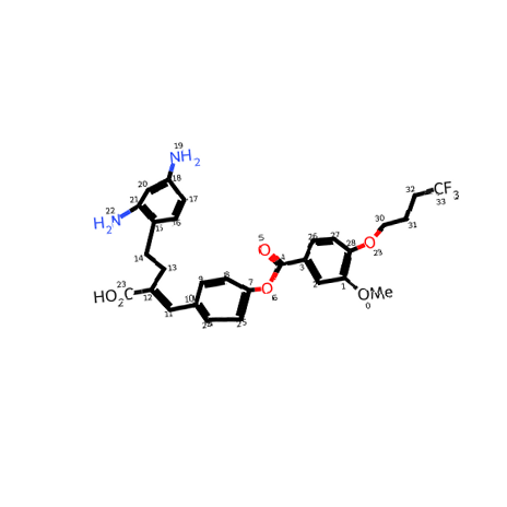 COc1cc(C(=O)Oc2ccc(C=C(CCc3ccc(N)cc3N)C(=O)O)cc2)ccc1OCCCC(F)(F)F